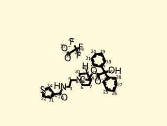 O=C(NCC[N+]12CCC(CC1)[C@@H](OC(=O)C(O)(c1ccccc1)c1ccccc1)C2)c1ccsc1.O=C([O-])C(F)(F)F